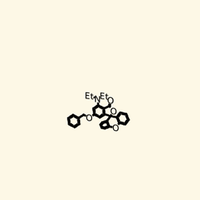 CCN(CC)c1cc(OCc2ccccc2)cc2c1C(=O)OC21c2ccccc2Oc2ccccc21